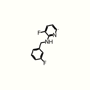 Fc1cccc(CNc2n[c]ccc2F)c1